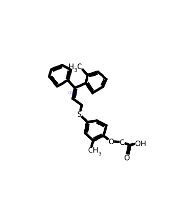 Cc1cc(SC/C=C(/c2ccccc2)c2ccccc2C)ccc1OCC(=O)O